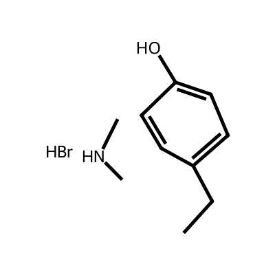 Br.CCc1ccc(O)cc1.CNC